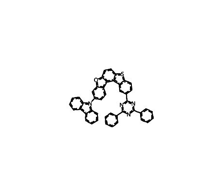 c1ccc(-c2nc(-c3ccccc3)nc(-c3ccc4sc5ccc6oc7cc(-n8c9ccccc9c9ccccc98)ccc7c6c5c4c3)n2)cc1